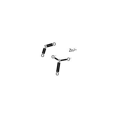 O=S([O-])[O-].O=S=O.[Zn+2]